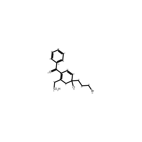 O=C(C1=C(CS(=O)(=O)O)CC(Cl)(CCCBr)C=C1)c1ccccc1